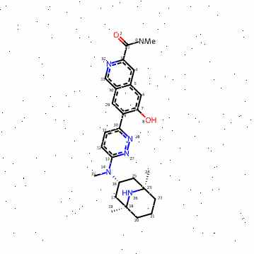 CNC(=O)c1cc2cc(O)c(-c3ccc(N(C)[C@H]4C[C@]5(C)CCC[C@](C)(C4)N5)nn3)cc2cn1